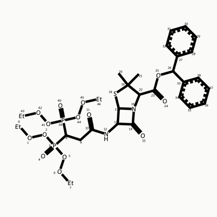 CCOOP(=O)(OOCC)C(CC(=O)NC1C(=O)N2C1SC(C)(C)C2C(=O)OC(c1ccccc1)c1ccccc1)P(=O)(OOCC)OOCC